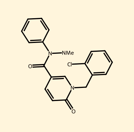 CNN(C(=O)c1ccc(=O)n(Cc2ccccc2Cl)c1)c1ccccc1